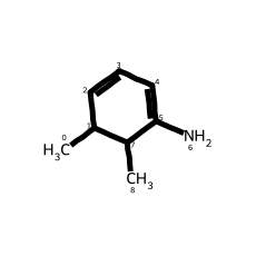 CC1C=CC=C(N)C1C